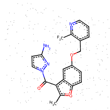 Cc1oc2ccc(OCc3cccnc3C(F)(F)F)cc2c1C(=O)n1ccc(N)n1